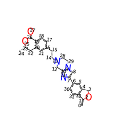 C=C1OCc2cc(-c3cn4c(n3)CN(CCc3ccc5c(c3)C[C@H](C)OC5=O)CC4)ccc21